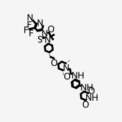 C[C@@H]1C[C@H](OCC[C@H]2CC[C@H](N3C(=S)N(c4cnc(C#N)c(C(F)(F)F)c4)C(=O)C3(C)C)CC2)C[C@H](C)N1CC(=O)Nc1cccc(NC2CCC(=O)NC2=O)c1